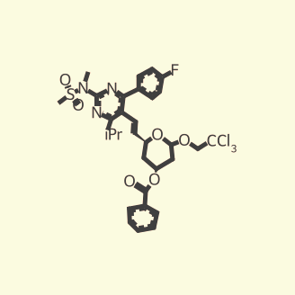 CC(C)c1nc(N(C)S(C)(=O)=O)nc(-c2ccc(F)cc2)c1/C=C/[C@@H]1C[C@@H](OC(=O)c2ccccc2)CC(OCC(Cl)(Cl)Cl)O1